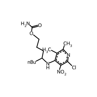 CCCCC(CCCOC(N)=O)Nc1c(C)c(C)nc(Cl)c1[N+](=O)[O-]